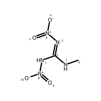 CNC(=N[N+](=O)[O-])N[N+](=O)[O-]